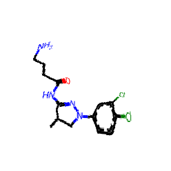 CC1CN(c2ccc(Cl)c(Cl)c2)N=C1NC(=O)CCCN